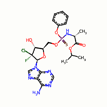 CC(C)OC(=O)[C@@H](C)NP(=S)(OC[C@H]1O[C@@H](n2cnc3c(N)ncnc32)[C@@](F)(Cl)[C@@H]1O)Oc1ccccc1